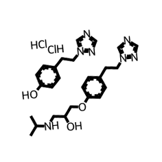 CC(C)NCC(O)COc1ccc(CCn2cncn2)cc1.Cl.Cl.Oc1ccc(CCn2cncn2)cc1